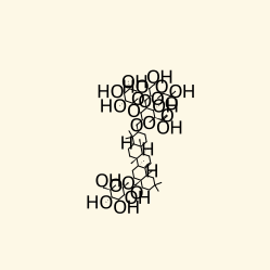 CC1(C)CC[C@]2(C(=O)O[C@@H]3O[C@H](CO)[C@@H](O)[C@H](O)[C@H]3O)CC[C@]3(C)C(=CC[C@@H]4[C@@]5(C)CC[C@H](O[C@@H]6O[C@H](C(=O)O)[C@@H](O)[C@H](O[C@H](OCC(=O)O)[C@@H](O)C(=O)O)[C@H]6O[C@@H]6OC[C@@H](O)[C@H](O)[C@H]6O)C(C)(C)[C@@H]5CC[C@]43C)[C@@H]2C1